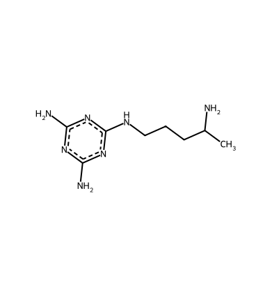 CC(N)CCCNc1nc(N)nc(N)n1